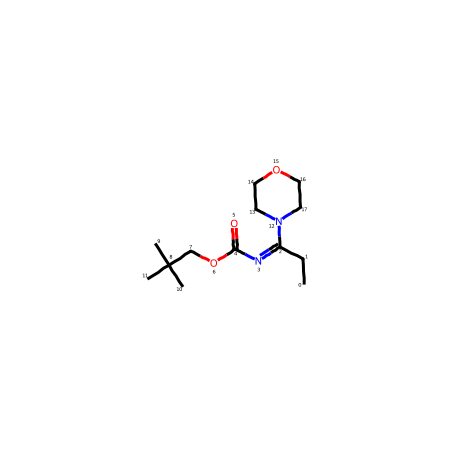 CC/C(=N/C(=O)OCC(C)(C)C)N1CCOCC1